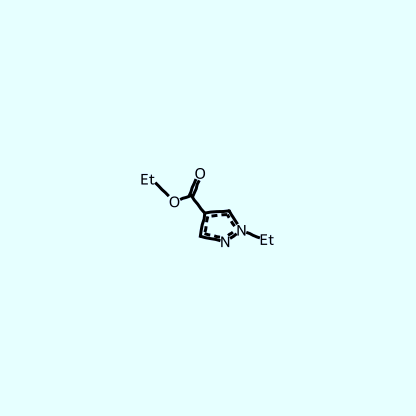 CCOC(=O)c1cnn(CC)c1